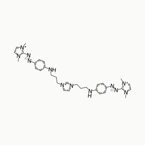 Cn1cc[n+](C)c1/N=N/c1ccc(NCCCn2cc[n+](CCCNc3ccc(/N=N/c4n(C)cc[n+]4C)cc3)c2)cc1